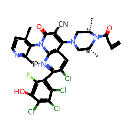 C=CC(=O)N1[C@H](C)CN(c2c(C#N)c(=O)n(-c3c(C)ccnc3C(C)C)c3nc(-c4c(F)c(O)c(Cl)c(Cl)c4Cl)c(Cl)cc23)C[C@@H]1C